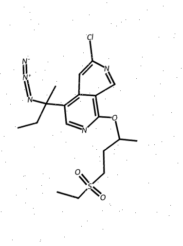 CCC(C)(N=[N+]=[N-])c1cnc(OC(C)CCS(=O)(=O)CC)c2cnc(Cl)cc12